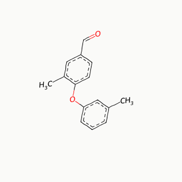 Cc1cccc(Oc2ccc(C=O)cc2C)c1